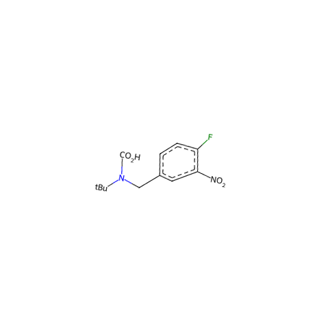 CC(C)(C)N(Cc1ccc(F)c([N+](=O)[O-])c1)C(=O)O